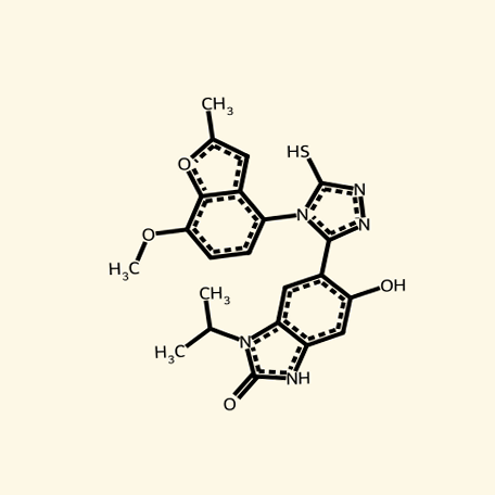 COc1ccc(-n2c(S)nnc2-c2cc3c(cc2O)[nH]c(=O)n3C(C)C)c2cc(C)oc12